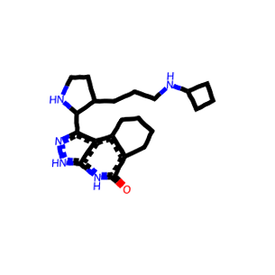 O=c1[nH]c2[nH]nc(C3NCCC3CCCNC3CCC3)c2c2c1CCCC2